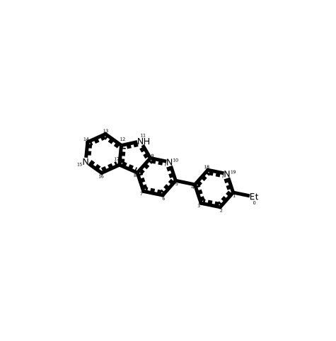 CCc1ccc(-c2ccc3c(n2)[nH]c2ccncc23)cn1